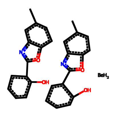 Cc1ccc2oc(-c3ccccc3O)nc2c1.Cc1ccc2oc(-c3ccccc3O)nc2c1.[BeH2]